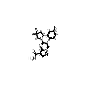 NC(=O)c1cnn2ccc(N3CC(F)(F)C[C@H]3c3cccc(F)c3)nc12